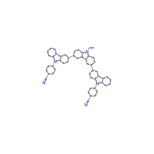 C=Cn1c2ccc(-c3ccc4c(c3)c3ccccc3n4-c3ccc(C#N)cc3)cc2c2cc(-c3ccc4c(c3)c3ccccc3n4-c3ccc(C#N)cc3)ccc21